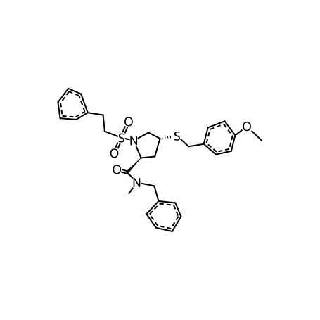 COc1ccc(CS[C@@H]2C[C@@H](C(=O)N(C)Cc3ccccc3)N(S(=O)(=O)CCc3ccccc3)C2)cc1